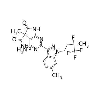 Cc1ccc2c(-c3nc(N)c4c(n3)NC(=O)C4(C)C(N)=O)nn(CCC(C)(F)C(F)(F)F)c2c1